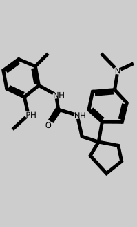 CPc1cccc(C)c1NC(=O)NCC1(c2ccc(N(C)C)cc2)CCCC1